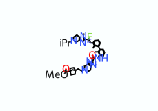 COC(=O)C12CCC(CCN3CCc4c(nc(C(=O)Nc5cccc(-c6cccc(/C=C(\F)c7nc8c(n7C)CCN(C(C)C)C8)c6C)c5C)n4C)C3)(CC1)C2